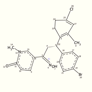 CC1=C([C@@H](C/C(=N\O)c2ccc(=O)n(C)c2)c2ccc(Br)cc2)CCC(Cl)=C1